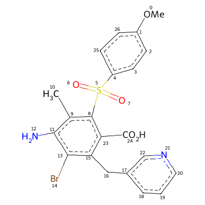 COc1ccc(S(=O)(=O)c2c(C)c(N)c(Br)c(Cc3cccnc3)c2C(=O)O)cc1